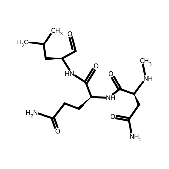 CN[C@@H](CC(N)=O)C(=O)N[C@@H](CCC(N)=O)C(=O)N[C@H](C=O)CC(C)C